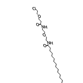 CCCCCCCCCCCCCCCC(=O)NCCOCCNC(=O)CCOCCCl